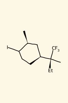 CC[C@@](C)([C@H]1CCC(I)[C@@H](C)C1)C(F)(F)F